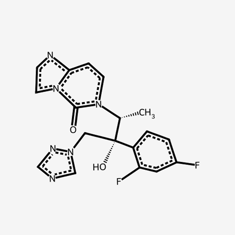 C[C@@H](n1ccc2nccn2c1=O)[C@](O)(Cn1cncn1)c1ccc(F)cc1F